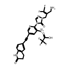 Cc1cc(C#Cc2ccc3c(c2)CCC(=O)N3)cnc1-n1cnn(CC(CN)=C(F)F)c1=O.O=C(O)C(F)(F)F